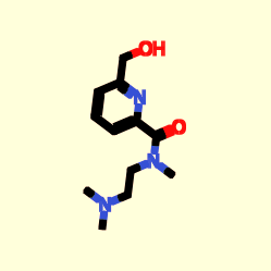 CN(C)CCN(C)C(=O)c1cccc(CO)n1